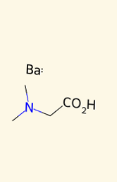 CN(C)CC(=O)O.[Ba]